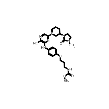 CN1CCN(C2CCCN(c3cnc(C#N)c(Nc4ccc(OCCCNC(=O)OC(C)(C)C)cc4)n3)C2)C1=O